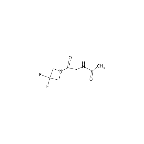 CC(=O)NCC(=O)N1CC(F)(F)C1